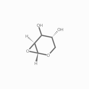 OC1[C@H](O)CO[C@@H]2O[C@@H]12